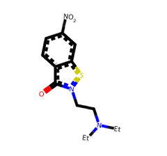 CCN(CC)CCn1sc2cc([N+](=O)[O-])ccc2c1=O